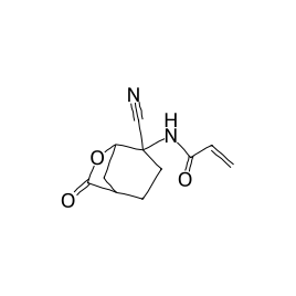 C=CC(=O)NC1(C#N)CCC2CC1OC2=O